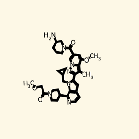 COCC(=O)N1CCC(c2nccc3cc(-c4nn5cc(C(=O)N6CCCC(N)C6)cc(OC)c5c4C)n(CC4CC4)c23)CC1